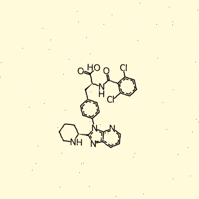 O=C(N[C@@H](Cc1ccc(-n2c([C@@H]3CCCCN3)nc3cccnc32)cc1)C(=O)O)c1c(Cl)cccc1Cl